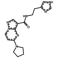 O=C(NCCc1c[nH]cn1)c1cnn2ccc(N3CCCC3)nc12